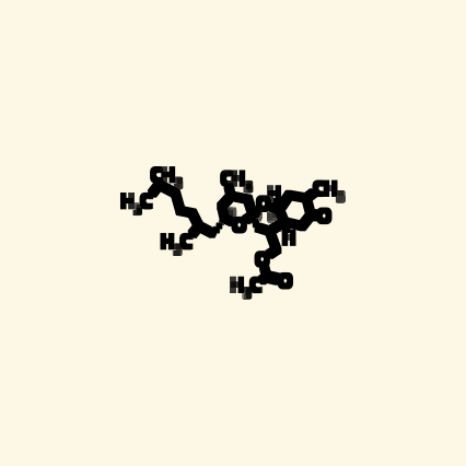 CC(=O)OCC1C[C@]2(CC(C)C[C@@H](CC(C)CCCC(C)C)O2)O[C@@H]2CC(C)C(=O)C[C@H]12